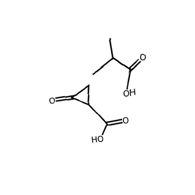 CC(C)C(=O)O.O=C(O)C1CC1=O